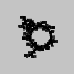 CC[C@H](C)[C@@H]1NC(=O)[C@H]([C@H](O)C(C)C)NC(=O)[C@@H](NC(=O)[C@H](CC(C)(C)C)NC(=O)[C@H](N)CC(C)(C)C)[C@@H](c2ccccc2)NC(=O)C(CO)NC(=O)[C@H](CO)NC(=O)CNC(=O)[C@H]([C@H](C)O)NC(=O)[C@H]([C@@H](C)CC)NC(=O)[C@@H](CCCNC(=N)N)NC1=O